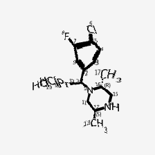 CC(C)C(c1ccc(Cl)c(F)c1)N1C[C@H](C)NC[C@H]1C.Cl.Cl